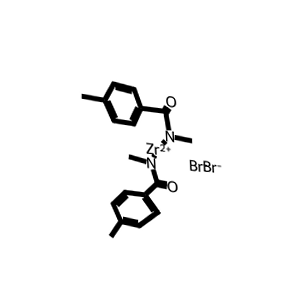 Cc1ccc(C(=O)[N](C)[Zr+2][N](C)C(=O)c2ccc(C)cc2)cc1.[Br-].[Br-]